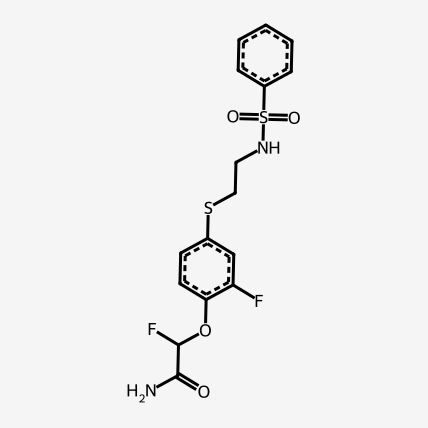 NC(=O)C(F)Oc1ccc(SCCNS(=O)(=O)c2ccccc2)cc1F